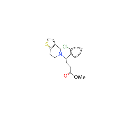 COC(=O)CCC(c1ccccc1Cl)N1CCc2sccc2C1